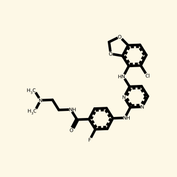 CN(C)CCNC(=O)c1ccc(Nc2nccc(Nc3c(Cl)ccc4c3OCO4)n2)cc1F